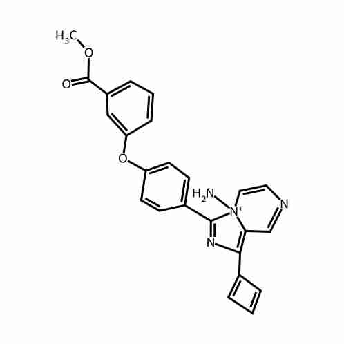 COC(=O)c1cccc(Oc2ccc(C3=NC(C4=CC=C4)=C4C=NC=C[N+]34N)cc2)c1